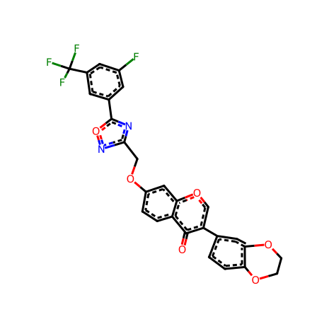 O=c1c(-c2ccc3c(c2)OCCO3)coc2cc(OCc3noc(-c4cc(F)cc(C(F)(F)F)c4)n3)ccc12